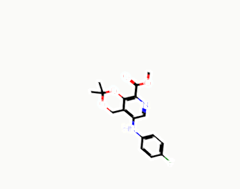 COC(=O)c1ncc(Nc2ccc(F)cc2)c2c1OC(C)(C)OC2